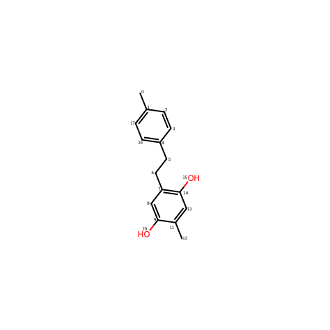 Cc1ccc(CCc2cc(O)c(C)cc2O)cc1